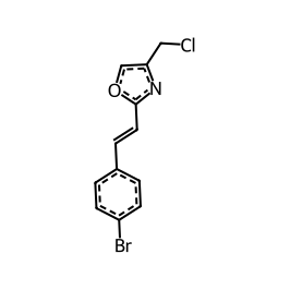 ClCc1coc(C=Cc2ccc(Br)cc2)n1